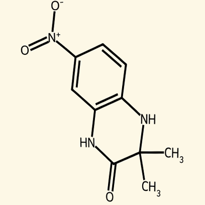 CC1(C)Nc2ccc([N+](=O)[O-])cc2NC1=O